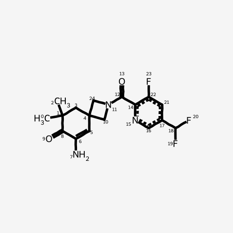 CC1(C)CC2(C=C(N)C1=O)CN(C(=O)c1ncc(C(F)F)cc1F)C2